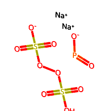 O=P[O-].O=S(=O)([O-])OOS(=O)(=O)O.[Na+].[Na+]